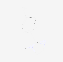 Cc1ccc(C2=NCCN2C)cc1